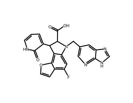 O=C(O)C1C(c2ccc[nH]c2=O)c2c(cc(F)c3ccoc23)N1Cc1cnc2[nH]cnc2c1